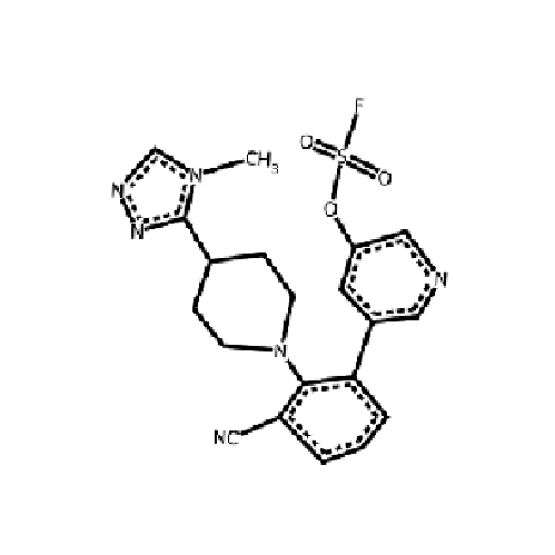 Cn1cnnc1C1CCN(c2c(C#N)cccc2-c2cncc(OS(=O)(=O)F)c2)CC1